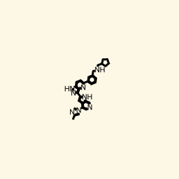 Cc1cn(-c2cncc3[nH]c(-c4n[nH]c5ccc(-c6cccc(CNCC7CCCC7)c6)nc45)cc23)cn1